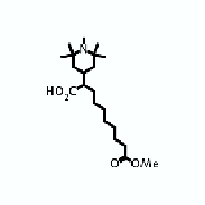 COC(=O)CCCCCCCC(C(=O)O)C1CC(C)(C)N(C)C(C)(C)C1